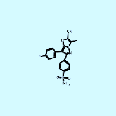 Cc1c(C#N)oc2c(-c3ccc(F)cc3)c(-c3ccc(S(N)(=O)=O)cc3)nn12